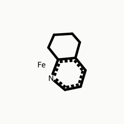 [Fe].c1cnc2c(c1)CCCC2